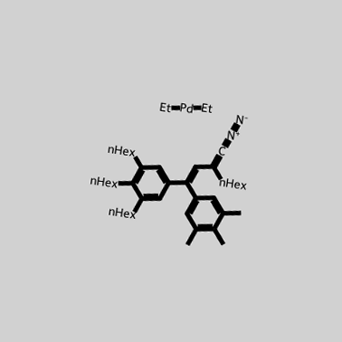 CCCCCCC(=C=[N+]=[N-])C=C(c1cc(C)c(C)c(C)c1)c1cc(CCCCCC)c(CCCCCC)c(CCCCCC)c1.C[CH2][Pd][CH2]C